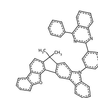 CC1(C)c2cc3c(cc2-c2c1ccc1c2oc2ccccc21)c1ccccc1n3-c1cccc(-c2nc(-c3ccccc3)c3ccccc3n2)c1